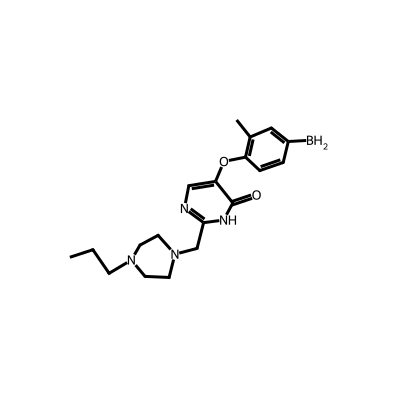 Bc1ccc(Oc2cnc(CN3CCN(CCC)CC3)[nH]c2=O)c(C)c1